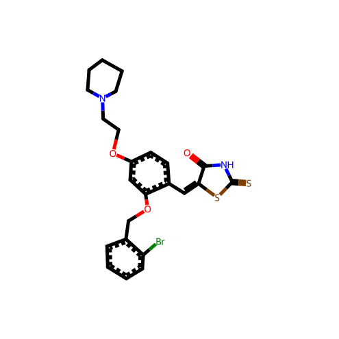 O=C1NC(=S)SC1=Cc1ccc(OCCN2CCCCC2)cc1OCc1ccccc1Br